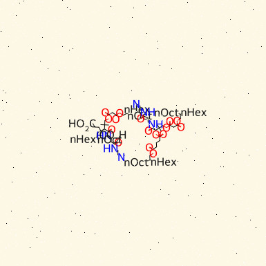 CCCCCCCCC(CCCCCC)COC(=O)CC(=O)OCC(C)(C)C(C(=O)NCCC(=O)NCCN(C)C)C(CCC(=O)O)(CC(CCCCCC)CCCCCCCC)C(=O)O.CCCCCCCCC(CCCCCC)COC(=O)CCCC(=O)OC(C(=O)NCCC(=O)NCCN(C)C)C(C)(C)COC(=O)CC(=O)OCC(CCCCCC)CCCCCCCC